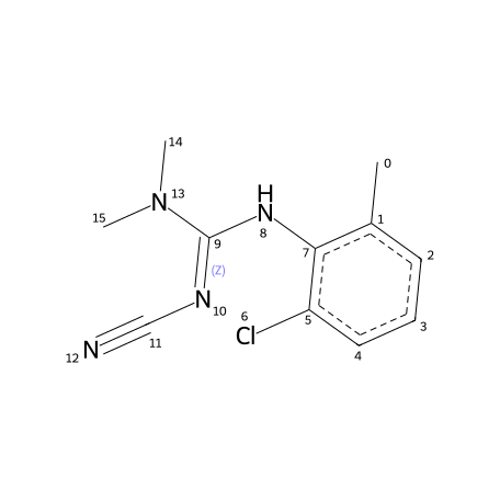 Cc1cccc(Cl)c1N/C(=N/C#N)N(C)C